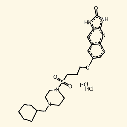 Cl.Cl.O=c1[nH]c2cc3cc(OCCCS(=O)(=O)N4CCN(CC5CCCCC5)CC4)ccc3nc2[nH]1